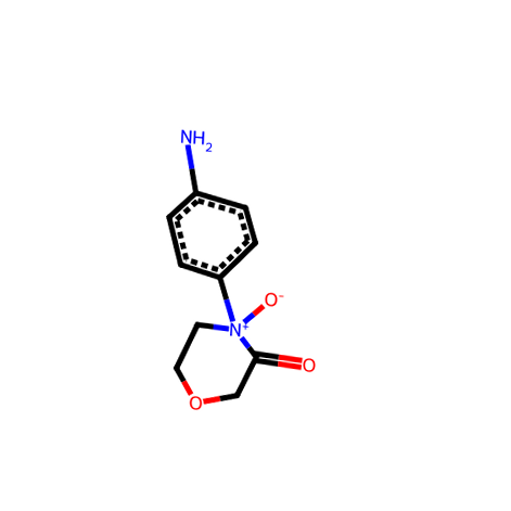 Nc1ccc([N+]2([O-])CCOCC2=O)cc1